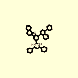 C1=C(c2ccccc2)NC(c2cc(-c3ccc(-c4ccccc4)c4ccccc34)c3oc4c5ccccc5ccc4c3c2)NC1c1ccccc1